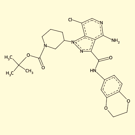 CC(C)(C)OC(=O)N1CCCC(n2nc(C(=O)Nc3ccc4c(c3)OCCO4)c3c(N)ncc(Cl)c32)C1